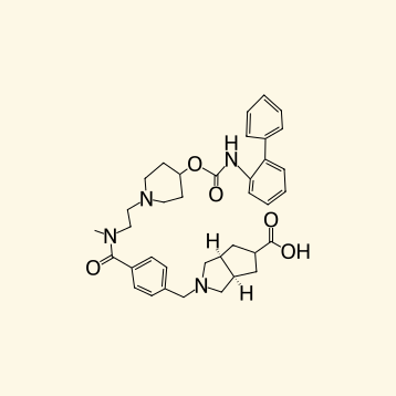 CN(CCN1CCC(OC(=O)Nc2ccccc2-c2ccccc2)CC1)C(=O)c1ccc(CN2C[C@H]3CC(C(=O)O)C[C@H]3C2)cc1